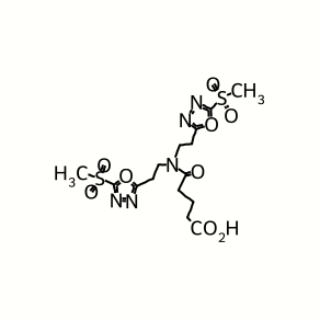 CS(=O)(=O)c1nnc(CCN(CCc2nnc(S(C)(=O)=O)o2)C(=O)CCCC(=O)O)o1